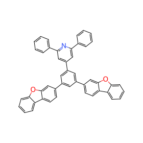 c1ccc(-c2cc(-c3cc(-c4ccc5c(c4)oc4ccccc45)cc(-c4ccc5c(c4)oc4ccccc45)c3)cc(-c3ccccc3)n2)cc1